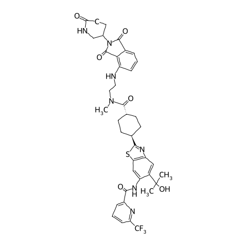 CN(CCNc1cccc2c1C(=O)N(C1CCC(=O)NC1)C2=O)C(=O)[C@H]1CC[C@H](c2nc3cc(C(C)(C)O)c(NC(=O)c4cccc(C(F)(F)F)n4)cc3s2)CC1